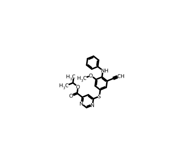 C#Cc1cc(Sc2cc(C(=O)OC(C)C)ncn2)cc(OC)c1Nc1ccccc1